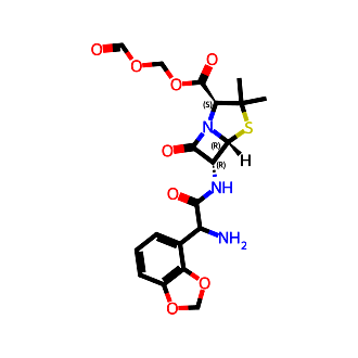 CC1(C)S[C@@H]2[C@H](NC(=O)C(N)c3cccc4c3OCO4)C(=O)N2[C@H]1C(=O)OCOC=O